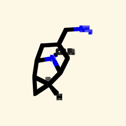 CCOC(=O)N1C2CC(CN)CC1[C@@H]1CC21